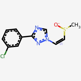 C[S+]([O-])/C=C\n1cnc(-c2cccc(Cl)c2)n1